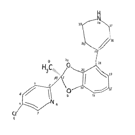 C[C@@]1(c2ccc(Cl)cn2)Oc2cccc(C3=CCNCC3)c2O1